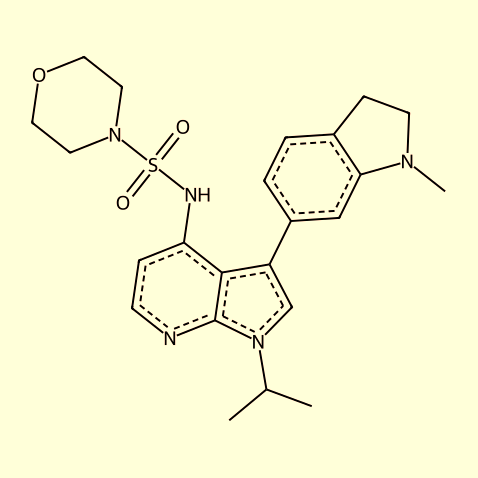 CC(C)n1cc(-c2ccc3c(c2)N(C)CC3)c2c(NS(=O)(=O)N3CCOCC3)ccnc21